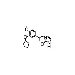 COc1ccc(C(C)Cn2cc[nH]c2=O)cc1OC1CCCC1